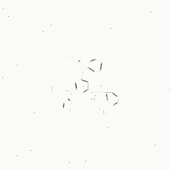 C=CC(=O)N(C)c1cc(C(OC(=O)C(C)(C)C)c2ccccc2)cc(N(CCO)Cc2ccccc2)c1